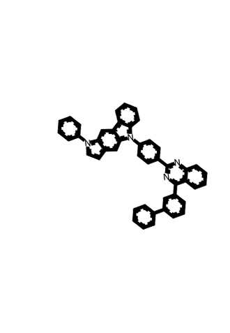 c1ccc(-c2cccc(-c3nc(-c4ccc(-n5c6ccccc6c6cc7c(ccn7-c7ccccc7)cc65)cc4)nc4ccccc34)c2)cc1